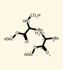 CCCCCCCCCCOC(=O)C(CCCC)NC(=O)O.CCCCCCCCCCOC(=O)C(N)CCCC